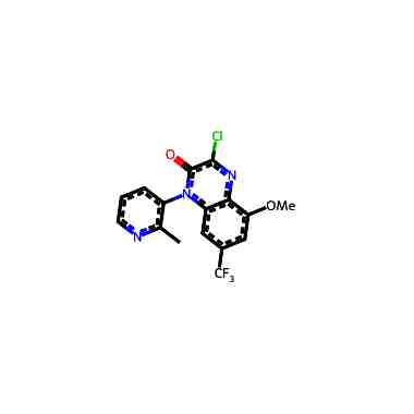 COc1cc(C(F)(F)F)cc2c1nc(Cl)c(=O)n2-c1cccnc1C